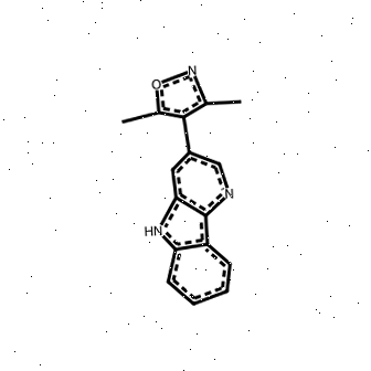 Cc1noc(C)c1-c1cnc2c(c1)[nH]c1ccccc12